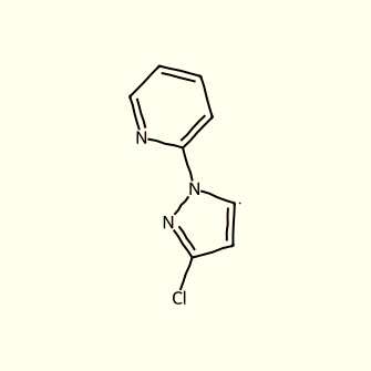 Clc1c[c]n(-c2ccccn2)n1